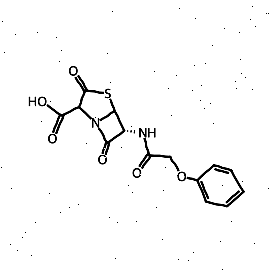 O=C(COc1ccccc1)N[C@@H]1C(=O)N2C(C(=O)O)C(=O)SC12